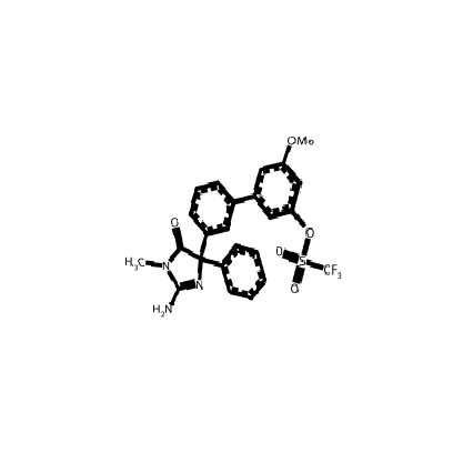 COc1cc(OS(=O)(=O)C(F)(F)F)cc(-c2cccc(C3(c4ccccc4)N=C(N)N(C)C3=O)c2)c1